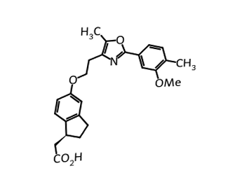 COc1cc(-c2nc(CCOc3ccc4c(c3)CC[C@H]4CC(=O)O)c(C)o2)ccc1C